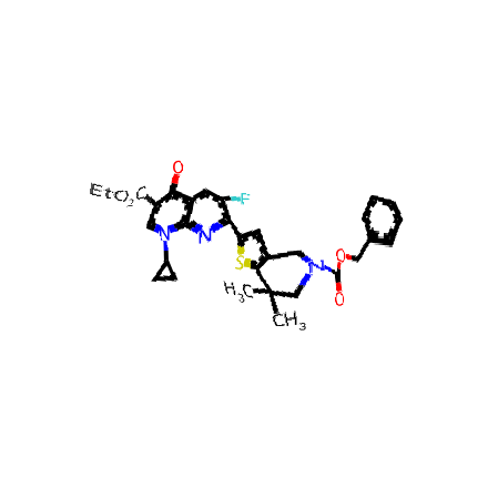 CCOC(=O)c1cn(C2CC2)c2nc(-c3cc4c(s3)C(C)(C)CN(C(=O)OCc3ccccc3)C4)c(F)cc2c1=O